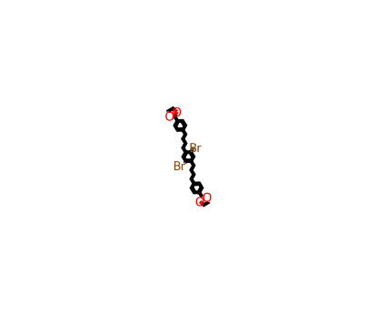 Brc1cc(CCCCc2ccc(C3OCCO3)cc2)c(Br)cc1CCCCc1ccc(C2OCCO2)cc1